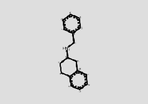 c1ccc(CNC2CCc3ccccc3C2)cc1